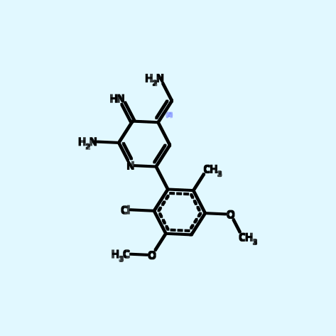 COc1cc(OC)c(Cl)c(C2=C/C(=C/N)C(=N)C(N)=N2)c1C